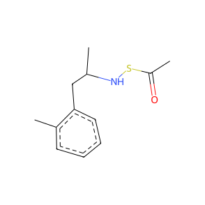 CC(=O)SNC(C)Cc1ccccc1C